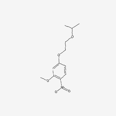 COc1cc(OCCOC(C)C)ccc1[N+](=O)[O-]